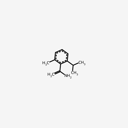 C=C(N)c1c(C)cccc1C(C)C